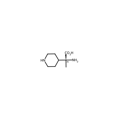 C[C@](N)(C(=O)O)C1CCNCC1